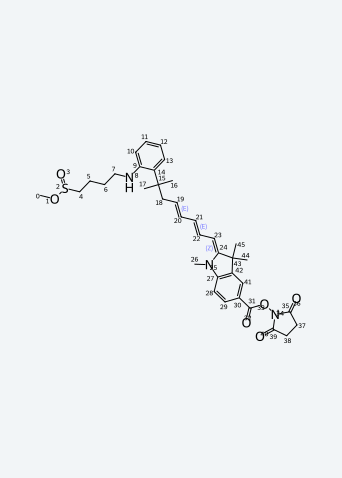 COS(=O)CCCCNc1ccccc1C(C)(C)C/C=C/C=C/C=C1\N(C)c2ccc(C(=O)ON3C(=O)CCC3=O)cc2C1(C)C